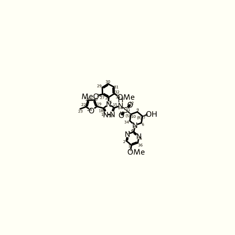 COc1cnc(N2C[C@H](O)C[C@H](S(=O)(=O)Nc3nnc(-c4ccc(C)o4)n3-c3c(OC)cccc3OC)C2)nc1